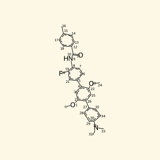 COc1cc(-c2ccc(NC(=O)c3ccc(C)cc3)c(F)c2)c(OC)cc1-c1ccc(N(C)C)cc1